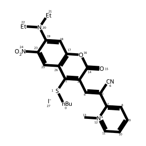 CCCCSc1c(C=C(C#N)c2cccc[n+]2C)c(=O)oc2cc(N(CC)CC)c([N+](=O)[O-])cc12.[I-]